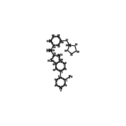 Fc1cnccc1-c1ccc2nc(Nc3cc(CN4CCCC4)ccn3)sc2c1